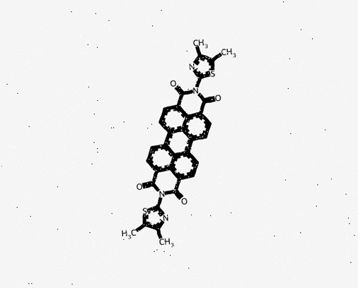 Cc1nc(N2C(=O)c3ccc4c5ccc6c7c(ccc(c8ccc(c3c48)C2=O)c75)C(=O)N(c2nc(C)c(C)s2)C6=O)sc1C